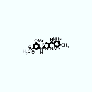 CNc1nc(Nc2cc(OC)cc(S(C)(=O)=O)c2)ncc1-c1n[nH]c2c(F)c(C)ccc12